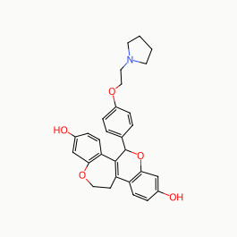 Oc1ccc2c(c1)OC(c1ccc(OCCN3CCCC3)cc1)C1=C2CCOc2cc(O)ccc21